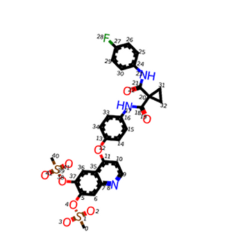 CS(=O)(=O)Oc1cc2nccc(Oc3ccc(NC(=O)C4(C(=O)Nc5ccc(F)cc5)CC4)cc3)c2cc1OS(C)(=O)=O